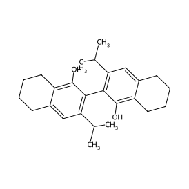 CC(C)c1cc2c(c(O)c1-c1c(C(C)C)cc3c(c1O)CCCC3)CCCC2